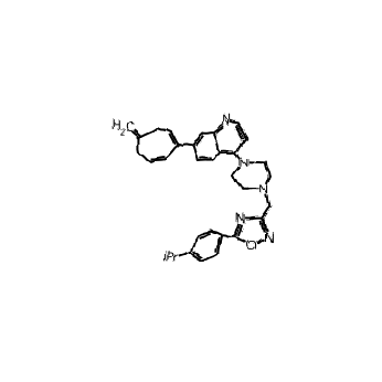 C=C1CC=CC(c2ccc3c(N4CCN(Cc5noc(-c6ccc(C(C)C)cc6)n5)CC4)ccnc3c2)=CC1